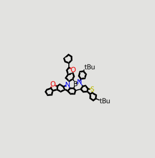 CC(C)(C)c1ccc(N2B3c4cc5oc(-c6ccccc6)cc5cc4-n4c5cc6oc7ccccc7c6cc5c5ccc(c3c54)-c3cc4c(cc32)sc2cc(C(C)(C)C)ccc24)cc1